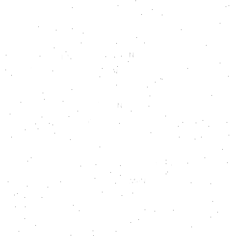 CNC(=O)c1ccc(-n2c(=O)c3c(n4ncc(Cc5ccccc5)c24)CNC(C2CC2)C3)cc1